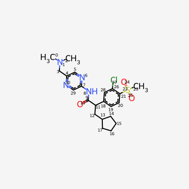 CN(C)Cc1cnc(NC(=O)C(CC2CCCC2)c2ccc(S(C)(=O)=O)c(Cl)c2)cn1